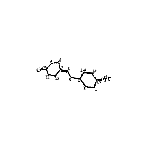 CCCC1CCC(CC=C2CCC(=O)CC2)CC1